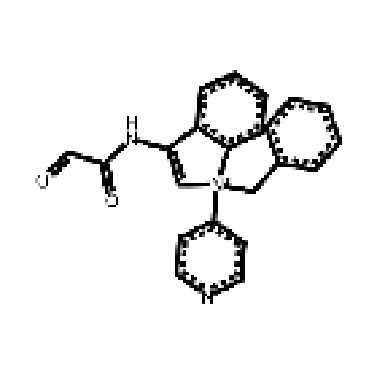 O=CC(=O)NC1=C[N+](Cc2ccccc2)(c2ccncc2)c2ccccc21